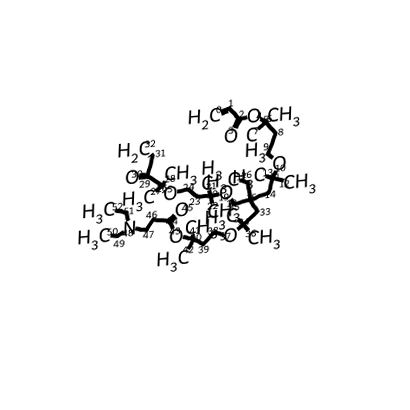 C=CC(=O)OC(C)(C)CCOC(C)(C)CC(CC)(COC(C)(C)CCOC(C)(C)C(=O)C=C)CC(C)(C)OCCC(C)(C)OC(=O)CCN(CC)CC